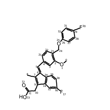 COc1cc(/C=C2/C(C)=C(CC(=O)O)c3cc(F)ccc32)ccc1COc1ccc(F)cc1